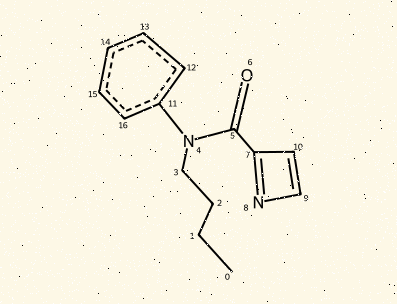 CCCCN(C(=O)C1=NC=C1)c1ccccc1